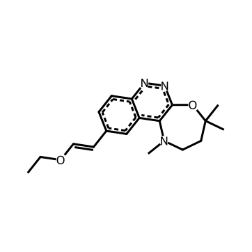 CCO/C=C/c1ccc2nnc3c(c2c1)N(C)CCC(C)(C)O3